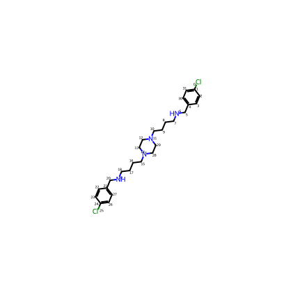 Clc1ccc(CNCCCCN2CCN(CCCCNCc3ccc(Cl)cc3)CC2)cc1